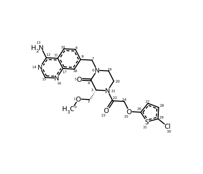 COC[C@@H]1C(=O)N(Cc2ccc3c(N)ncnc3c2)CCN1C(=O)COc1ccc(Cl)s1